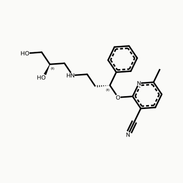 Cc1ccc(C#N)c(O[C@H](CCNC[C@@H](O)CO)c2ccccc2)n1